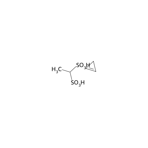 C1=CC1.CC(S(=O)(=O)O)S(=O)(=O)O